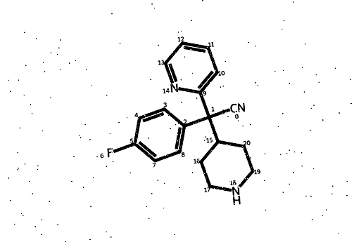 N#CC(c1ccc(F)cc1)(c1ccccn1)C1CCNCC1